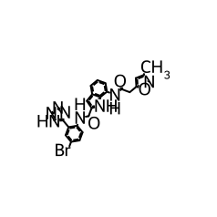 Cc1cc(CC(=O)Nc2cccc3cc(C(=O)Nc4ccc(Br)cc4-c4nnn[nH]4)[nH]c23)on1